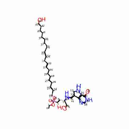 CCOP(=O)(CC[C@@H](CO)NCC1CNc2c1nc[nH]c2=O)OCCCCCCCCCCCCCCCCCCCCCO